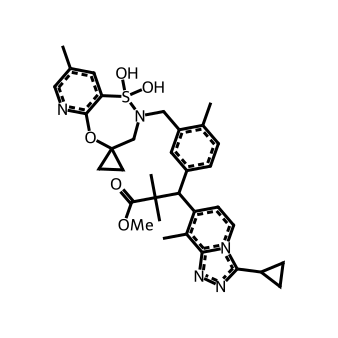 COC(=O)C(C)(C)C(c1ccc(C)c(CN2CC3(CC3)Oc3ncc(C)cc3S2(O)O)c1)c1ccn2c(C3CC3)nnc2c1C